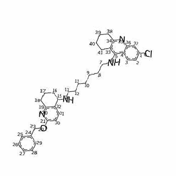 Clc1ccc2c(NCCCCCCCNC3CCCc4nc(OCc5ccccc5)ccc43)c3c(nc2c1)CCCC3